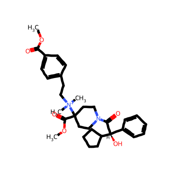 COC(=O)c1ccc(CC[N+](C)(C)C2(C(=O)OC)CCN(C(=O)[C@](O)(c3ccccc3)C3CCCC3)CC2)cc1